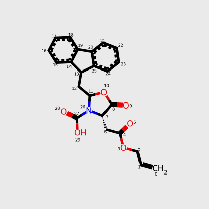 C=CCOC(=O)C[C@H]1C(=O)OC(CC2c3ccccc3-c3ccccc32)N1C(=O)O